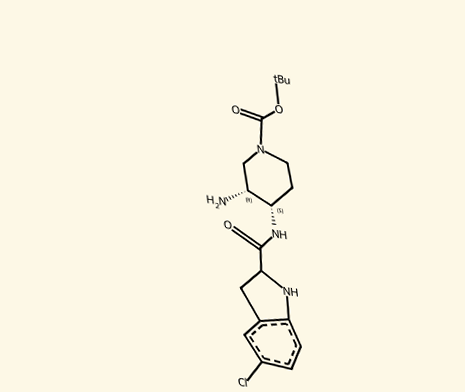 CC(C)(C)OC(=O)N1CC[C@H](NC(=O)C2Cc3cc(Cl)ccc3N2)[C@H](N)C1